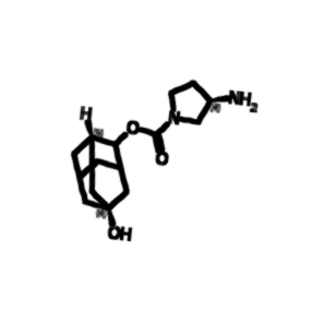 N[C@@H]1CCN(C(=O)OC2C3CC4C[C@H]2C[C@@](O)(C4)C3)C1